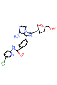 Nc1nccn2c(C3CCC(CO)OC3)nc(-c3ccc(C(=O)Nc4ccc(Cl)cn4)cc3)c12